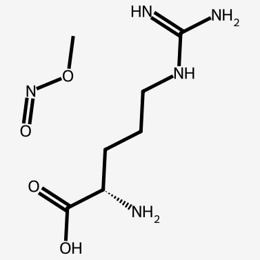 CON=O.N=C(N)NCCC[C@H](N)C(=O)O